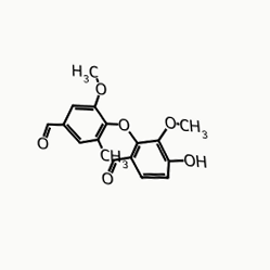 COc1cc(C=O)cc(C)c1Oc1c(C=O)ccc(O)c1OC